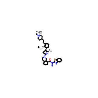 CC(=O)c1nc(N2CCc3cccc(C(=O)Nc4nc5ccccc5s4)c3C2)ccc1-c1cccc(CCC2CCN(CC=O)CC2)c1C